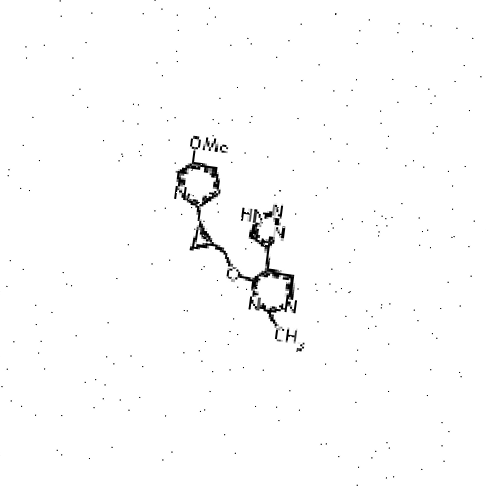 COc1ccc(C2=C(COc3nc(C)ncc3-c3c[nH]nn3)C2)nc1